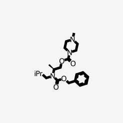 CC(C)CN(C(=O)OCc1ccccc1)[C@@H](C)COC(=O)N1CCN(C)CC1